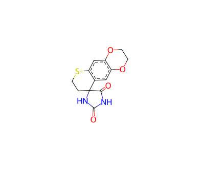 O=C1NC(=O)C2(CCSc3cc4c(cc32)OCCO4)N1